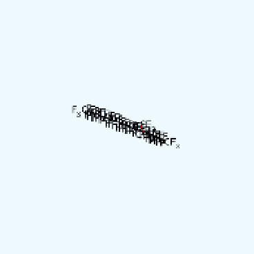 O=C(O)C(C(F)(F)C(F)(F)F)(C(F)(F)C(F)(F)C(F)(F)C(F)(F)C(F)(F)C(F)(F)C(F)(F)C(F)(F)F)C(F)(F)C(F)(F)C(F)(F)C(F)(F)C(F)(F)C(F)(F)C(F)(F)C(F)(F)C(F)(F)C(F)(F)C(F)(F)C(F)(F)C(F)(F)C(F)(F)C(F)(F)C(F)(F)F